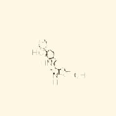 COCC1Cc2[nH]nc(-c3cc4ccc(C5(O)CCOCC5)cc4[nH]3)c2S1